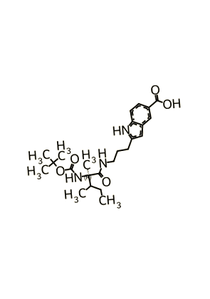 CCC(C)[C@@](C)(NC(=O)OC(C)(C)C)C(=O)NCCCc1cc2cc(C(=O)O)ccc2[nH]1